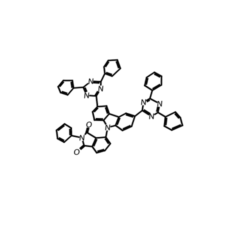 O=C1c2cccc(-n3c4ccc(-c5nc(-c6ccccc6)nc(-c6ccccc6)n5)cc4c4cc(-c5nc(-c6ccccc6)nc(-c6ccccc6)n5)ccc43)c2C(=O)N1c1ccccc1